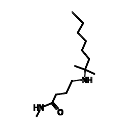 CCCCCCC(C)(C)NCCCC(=O)NC